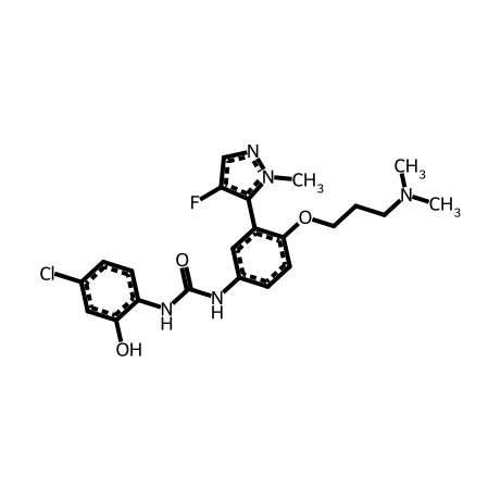 CN(C)CCCOc1ccc(NC(=O)Nc2ccc(Cl)cc2O)cc1-c1c(F)cnn1C